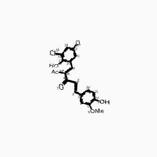 COc1cc(/C=C/C(=O)C(=Cc2cc(Cl)cc(Cl)c2O)C(C)=O)ccc1O